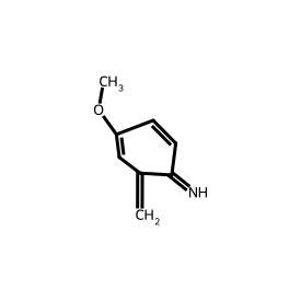 C=C1C=C(OC)C=CC1=N